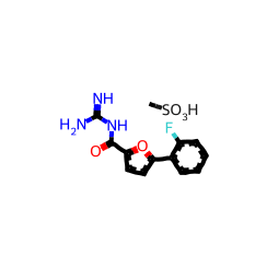 CS(=O)(=O)O.N=C(N)NC(=O)c1ccc(-c2ccccc2F)o1